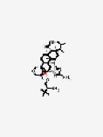 CC(C)[C@@H](C)[C@@]1(C)CC[C@]2(C)[C@H]3CC[C@@H]4[C@@]5(COC[C@@]4(C)[C@@H](OC[C@@H](N)C(C)(C)C)[C@H](n4nnc(N)n4)C5)C3=CC[C@@]2(C)[C@@H]1C(=O)O